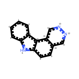 c1ccc2c(c1)[nH]c1ccc3cnncc3c12